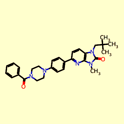 Cn1c(=O)n(CC(C)(C)C)c2ccc(-c3ccc(N4CCN(C(=O)c5ccccc5)CC4)cc3)nc21